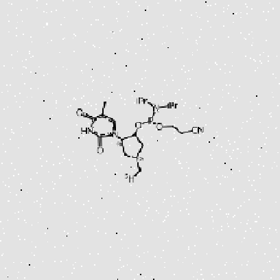 [2H]C[C@@H]1CC(OP(OCCC#N)N(C(C)C)C(C)C)[C@H](n2cc(C)c(=O)[nH]c2=O)C1